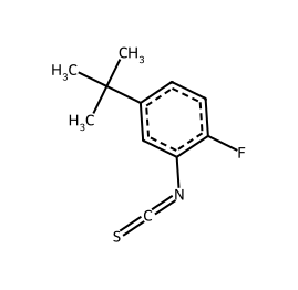 CC(C)(C)c1ccc(F)c(N=C=S)c1